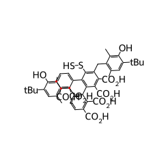 Cc1cc(C(C)(C)C)c(O)c(C)c1Cc1ccc(C(=O)O)c(C(=O)O)c1-c1c(C(=O)O)c(C(=O)O)c(Cc2c(C)cc(C(C)(C)C)c(O)c2C)c(SS)c1-c1cccc(C(=O)O)c1C(=O)O